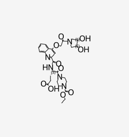 CCOC(=O)N1CCN(C(=O)[C@H](CCC(=O)O)NC(=O)c2cc(OCC(=O)N3C[C@H](O)[C@@H](O)C3)c3ccccc3n2)CC1